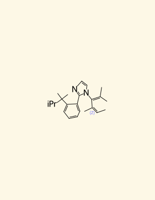 C/C=C(/C)C(=C(C)C)n1ccnc1-c1ccccc1C(C)(C)C(C)C